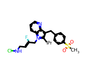 CC(C)c1c(Cc2ccc(S(C)(=O)=O)cc2)c2ncccc2n1C/C(F)=C/CNCl